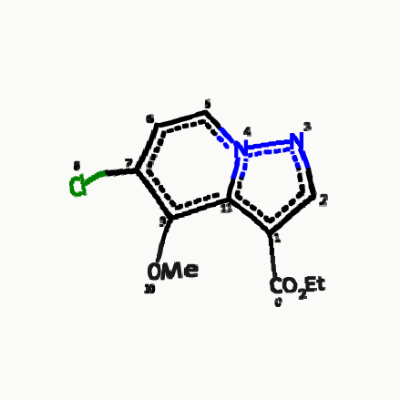 CCOC(=O)c1cnn2ccc(Cl)c(OC)c12